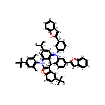 Cc1cc(C(C)(C)C)cc(C)c1N1c2cc(C(C)C)cc3c2B(c2ccc(-c4cc5ccccc5o4)cc2N3c2cccc(-c3cc4ccccc4o3)c2)c2c1oc1ccc(C(C)(C)C)cc21